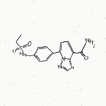 CCS(=O)(=O)Nc1ccc(-c2ccc(C(N)=O)c3n[c]nn23)cc1